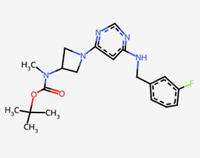 CN(C(=O)OC(C)(C)C)C1CN(c2cc(NCc3cccc(F)c3)ncn2)C1